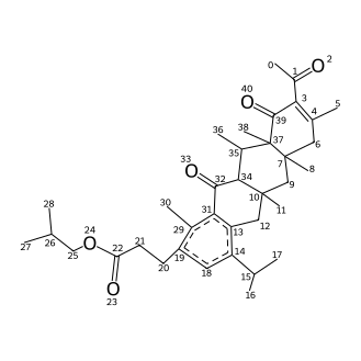 CC(=O)C1=C(C)CC2(C)CC3(C)Cc4c(C(C)C)cc(CCC(=O)OCC(C)C)c(C)c4C(=O)C3C(C)C2(C)C1=O